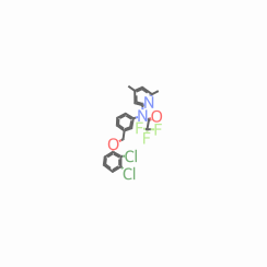 Cc1cc(C)nc(N(C(=O)C(F)(F)F)c2cccc(COc3cccc(Cl)c3Cl)c2)c1